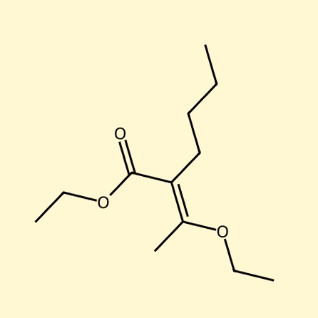 CCCCC(C(=O)OCC)=C(C)OCC